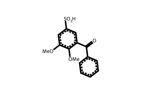 COc1cc(S(=O)(=O)O)cc(C(=O)c2ccccc2)c1OC